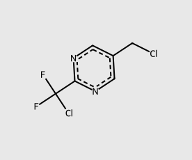 FC(F)(Cl)c1ncc(CCl)cn1